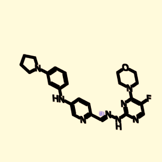 Fc1cnc(N/N=C/c2ccc(Nc3cccc(N4CCCC4)c3)cn2)nc1N1CCOCC1